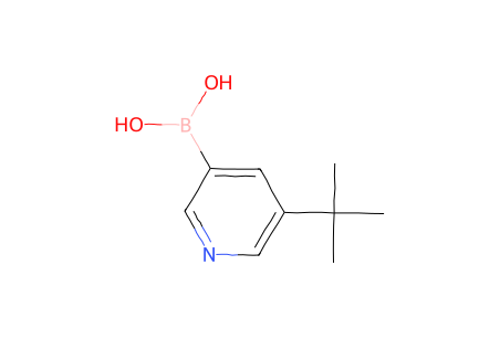 CC(C)(C)c1cncc(B(O)O)c1